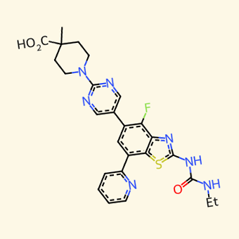 CCNC(=O)Nc1nc2c(F)c(-c3cnc(N4CCC(C)(C(=O)O)CC4)nc3)cc(-c3ccccn3)c2s1